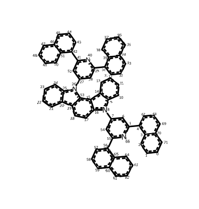 c1ccc2c(-c3cc(-n4c5ccccc5c5c4ccc4c6ccccc6n(-c6cc(-c7cccc8ccccc78)nc(-c7cccc8ccccc78)c6)c45)cc(-c4cccc5ccccc45)n3)cccc2c1